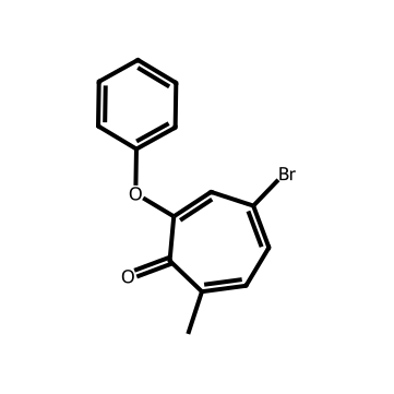 Cc1ccc(Br)cc(Oc2ccccc2)c1=O